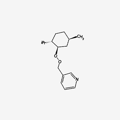 CC(C)[C@@H]1CC[C@@H](C)C[C@H]1OOCc1cccnc1